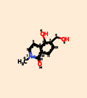 Cn1ccc2c(O)c(CO)ccc2c1=O